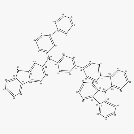 c1ccc(-c2cccc(N(c3ccc(-c4ccc(-c5ccccc5-n5c6ccccc6c6ccccc65)cc4)cc3)c3ccc4c(c3)sc3ccccc34)c2)cc1